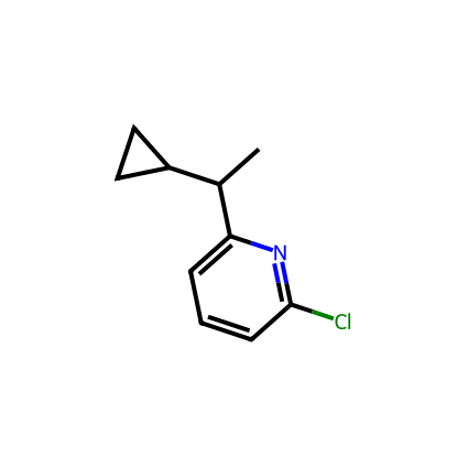 CC(c1cccc(Cl)n1)C1CC1